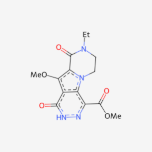 CCN1CCn2c(c(OC)c3c(=O)[nH]nc(C(=O)OC)c32)C1=O